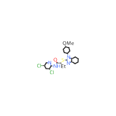 CCC(Sc1nc2ccccc2n1-c1ccc(OC)cc1)C(=O)Nc1ncc(Cl)cc1Cl